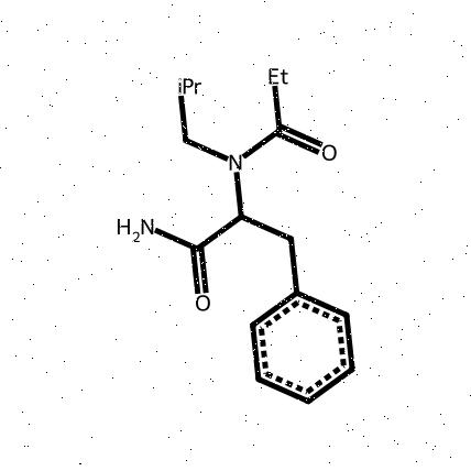 CCC(=O)N(CC(C)C)C(Cc1ccccc1)C(N)=O